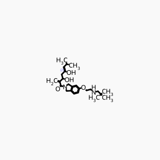 C=C(C(=O)N1Cc2ccc(OCCNCC(C)(C)C)cc2C1)C(O)C/C(O)=C/C(C)C